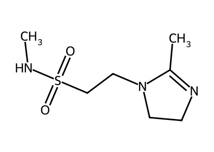 CNS(=O)(=O)CCN1CCN=C1C